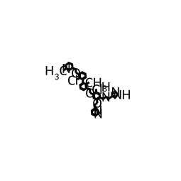 Cc1c(COc2cc(OCc3cccnn3)c(CNCc3cn[nH]c3)cc2Cl)cccc1-c1cccc(OCC2CCCN(C)C2)c1Cl